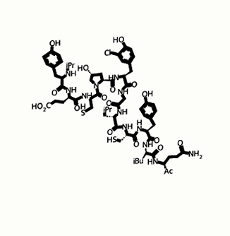 CC[C@H](C)[C@H](NC(=O)[C@H](Cc1ccc(O)cc1)NC(=O)[C@H](CS)NC(=O)[C@H](CC(C)C)NC(=O)CNC(=O)[C@H](Cc1ccc(O)c(Cl)c1)NC(=O)[C@@H]1C[C@@H](O)CN1C(=O)C(CS)NC(=O)[C@@H](CCC(=O)O)NC(=O)C(Cc1ccc(O)cc1)NC(C)C)C(=O)N[C@@H](CCC(N)=O)C(C)=O